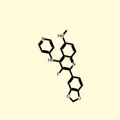 CNc1ccc2nc(-c3ccc4c(c3)OCO4)c(F)c(Nc3ccncc3)c2c1